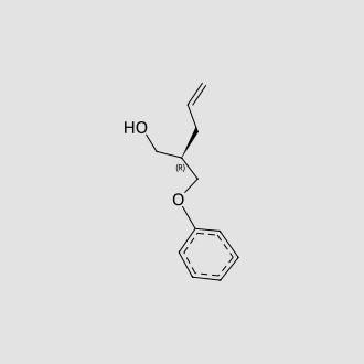 C=CC[C@H](CO)COc1ccccc1